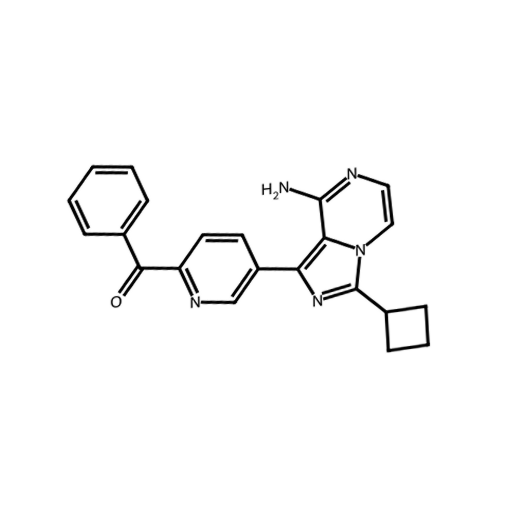 Nc1nccn2c(C3CCC3)nc(-c3ccc(C(=O)c4ccccc4)nc3)c12